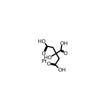 O=C(O)CC(O)(CC(=O)O)C(=O)O.[Pt]